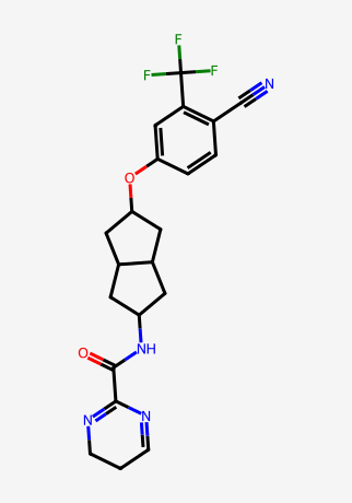 N#Cc1ccc(OC2CC3CC(NC(=O)C4=NCCC=N4)CC3C2)cc1C(F)(F)F